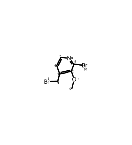 COc1c(CBr)ccnc1Br